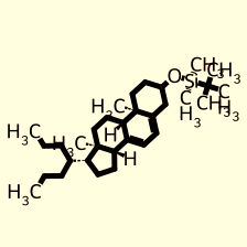 CCCC(CCC)[C@H]1CC[C@H]2C3=CC=C4CC(O[Si](C)(C)C(C)(C)C)CC[C@]4(C)[C@H]3CC[C@]12C